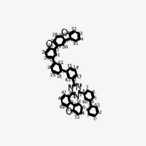 c1ccc(-c2cccc(-c3nc(-c4cccc(-c5cccc(-c6ccc7oc8cc9oc%10ccccc%10c9cc8c7c6)c5)c4)nc(-c4cccc5oc6ccccc6c45)n3)c2)cc1